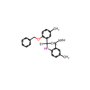 CCC(C)(Pc1ccc(C)cc1CNC)c1cc(C)ccc1OCc1ccccc1